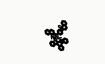 c1ccc2c(c1)ccc1c(-c3ccc4c(c3)sc3c5ccccc5ccc43)nc(-n3c4ccccc4c4c5ccccc5c5c6ccccc6sc5c43)nc12